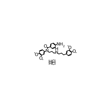 COc1ccc(CCCNCCCN(C(=O)c2ccc(N)cc2)c2ccc(OC)c(OC)c2)cc1OC.Cl.Cl